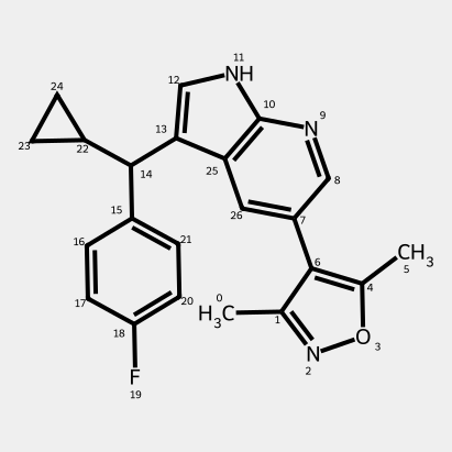 Cc1noc(C)c1-c1cnc2[nH]cc(C(c3ccc(F)cc3)C3CC3)c2c1